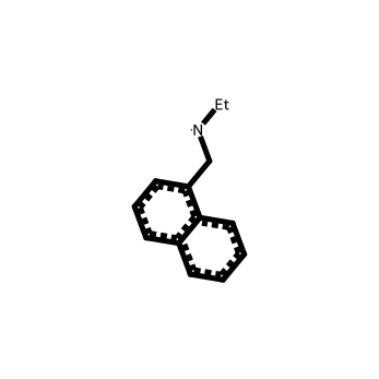 CC[N]Cc1cccc2ccccc12